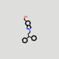 OCc1ccc2cn(CCC(c3ccccc3)c3ccccc3)nc2c1